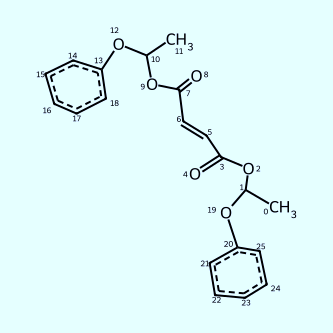 CC(OC(=O)C=CC(=O)OC(C)Oc1ccccc1)Oc1ccccc1